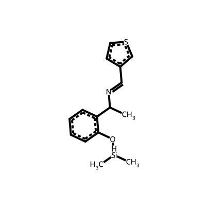 CC(N=Cc1ccsc1)c1ccccc1O[SiH](C)C